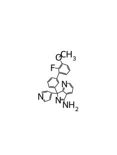 COc1cccc(-c2cccc(C3(c4ccncc4)N=C(N)c4cccnc43)c2)c1F